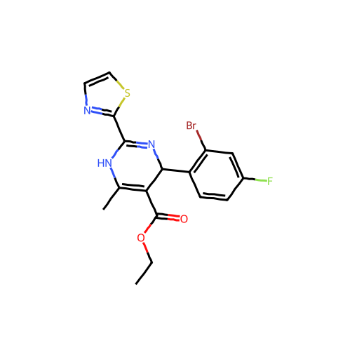 CCOC(=O)C1=C(C)NC(c2nccs2)=NC1c1ccc(F)cc1Br